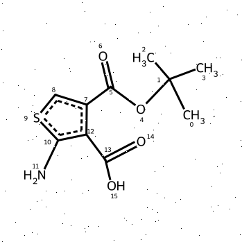 CC(C)(C)OC(=O)c1csc(N)c1C(=O)O